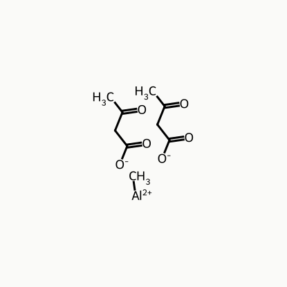 CC(=O)CC(=O)[O-].CC(=O)CC(=O)[O-].[CH3][Al+2]